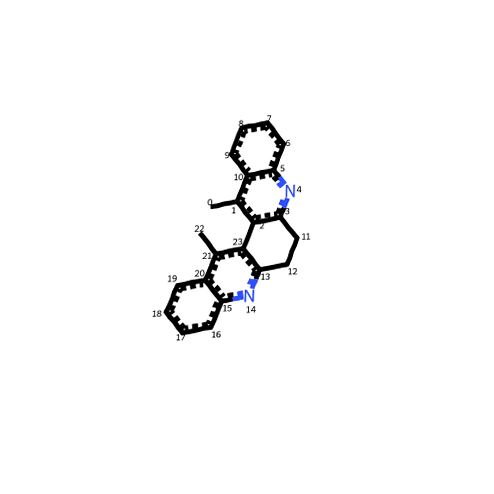 Cc1c2c(nc3ccccc13)CCc1nc3ccccc3c(C)c1-2